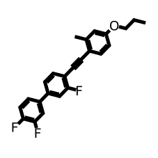 CCCOc1ccc(C#Cc2ccc(-c3ccc(F)c(F)c3)cc2F)c(C)c1